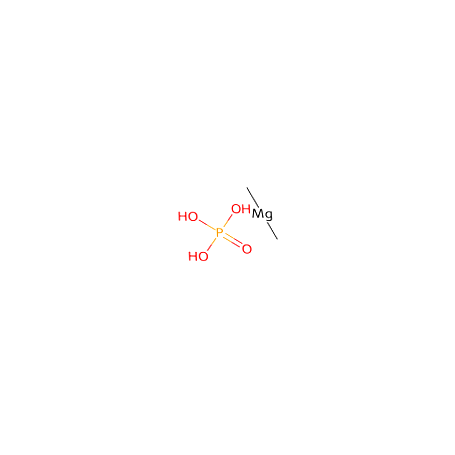 O=P(O)(O)O.[CH3][Mg][CH3]